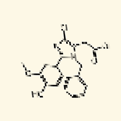 COc1cc(-c2nc(Cl)c(CC(=O)O)n2Cc2ccccc2)ccc1O